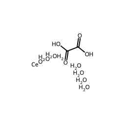 O.O.O.O.O.O.O.O=C(O)C(=O)O.[Ce]